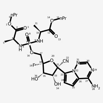 CCCOC(=O)[C@H](C)NP(=O)(N[C@@H](C)C(=O)OCCC)OC[C@@]1(F)O[C@@](C#N)(c2ccc3c(N)ncnn23)[C@H](O)[C@@H]1O